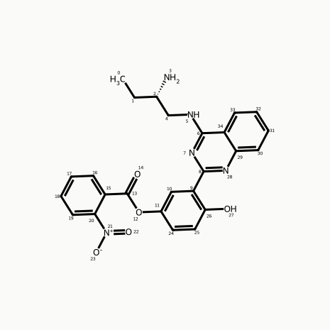 CC[C@H](N)CNc1nc(-c2cc(OC(=O)c3ccccc3[N+](=O)[O-])ccc2O)nc2ccccc12